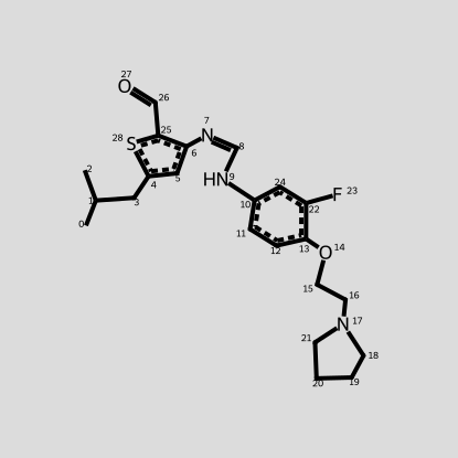 CC(C)Cc1cc(/N=C\Nc2ccc(OCCN3CCCC3)c(F)c2)c(C=O)s1